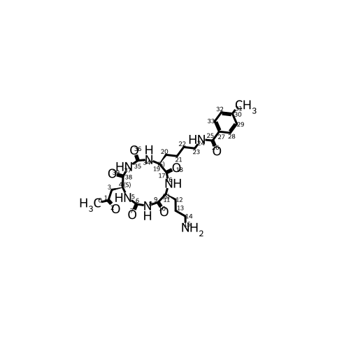 CC(=O)C[C@@H]1NC(=O)NC(=O)[C@H](CCCN)NC(=O)[C@H](CCCCNC(=O)c2ccc(C)cc2)NC(=O)NC1=O